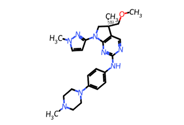 COC[C@]1(C)CN(c2ccn(C)n2)c2nc(Nc3ccc(N4CCN(C)CC4)cc3)ncc21